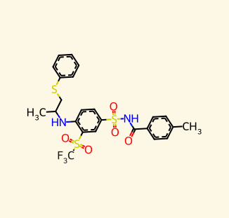 Cc1ccc(C(=O)NS(=O)(=O)c2ccc(NC(C)CSc3ccccc3)c(S(=O)(=O)C(F)(F)F)c2)cc1